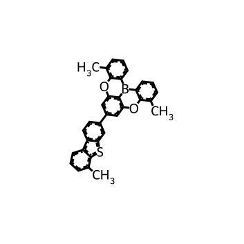 Cc1cccc2c1Oc1cc(-c3ccc4c(c3)sc3c(C)cccc34)cc3c1B2c1cccc(C)c1O3